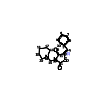 O=C1S/C(=C/c2ccccc2)C(=O)N1CN1CCCCC1